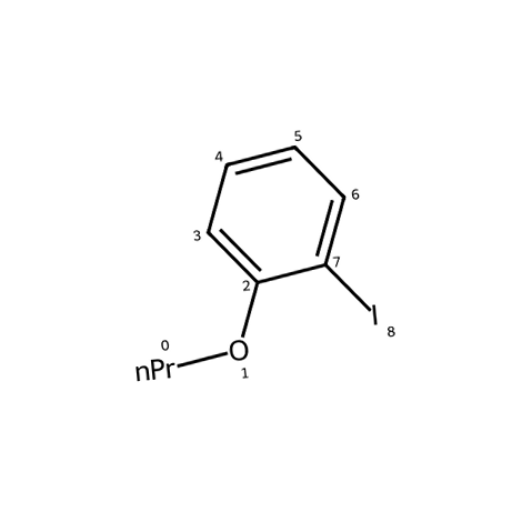 [CH2]CCOc1ccccc1I